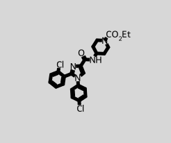 CCOC(=O)N1CCC(NC(=O)c2cn(-c3ccc(Cl)cc3)c(-c3ccccc3Cl)n2)CC1